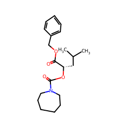 CC(C)C[C@H](OC(=O)N1CCCCCC1)C(=O)OCc1ccccc1